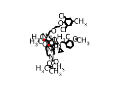 COc1cccc(CN(C(=O)C2=C(c3cnc(COCCOc4c(Cl)cc(C)cc4Cl)s3)CC3CN(C(=O)OC(C)(C)C)C[C@H]2N3C(=O)OC(C)(C)C)C2CC2)c1C